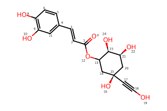 O=C(/C=C/c1ccc(O)c(O)c1)OC1C[C@@](O)(C#CO)C[C@H](O)[C@@H]1O